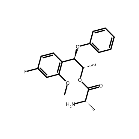 COc1cc(F)ccc1[C@@H](Oc1ccccc1)[C@H](C)OC(=O)[C@H](C)N